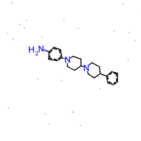 Nc1ccc(N2CCC(N3CCC(c4ccccc4)CC3)CC2)cc1